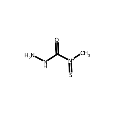 C[N+](=S)C(=O)NN